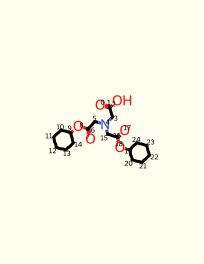 O=C(O)CN(CC(=O)OC1CCCCC1)CC(=O)OC1CCCCC1